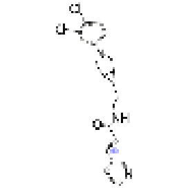 O=C(/C=C/c1cccnc1)NCCC1C2CN(c3ccc(Cl)c(Cl)c3)CC12